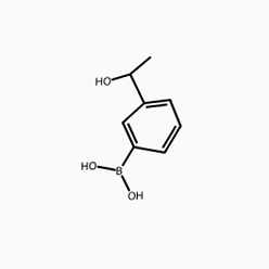 CC(O)c1cccc(B(O)O)c1